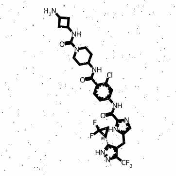 NC1CC(NC(=O)N2CCC(NC(=O)c3ccc(NC(=O)c4ncc(Cc5c(C(F)(F)F)n[nH]c5[C@H]5CC5(F)F)[nH]4)cc3Cl)CC2)C1